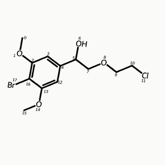 COc1cc(C(O)COCCCl)cc(OC)c1Br